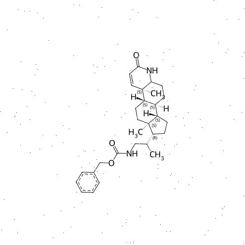 CC(CNC(=O)OCc1ccccc1)[C@H]1CC[C@H]2[C@@H]3CCC4NC(=O)C=C[C@]4(C)[C@H]3CC[C@]12C